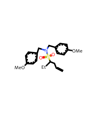 C=CCC(CC)S(=O)(=O)N(Cc1ccc(OC)cc1)Cc1ccc(OC)cc1